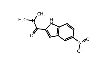 CN(C)C(=O)c1cc2cc([N+](=O)[O-])ccc2[nH]1